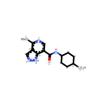 COc1ncc(C(=O)NC2CCC(C(=O)O)CC2)c2[nH]ncc12